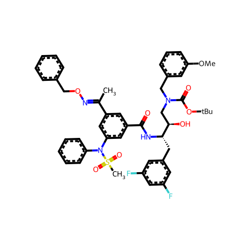 COc1cccc(CN(C[C@@H](O)[C@H](Cc2cc(F)cc(F)c2)NC(=O)c2cc(/C(C)=N/OCc3ccccc3)cc(N(c3ccccc3)S(C)(=O)=O)c2)C(=O)OC(C)(C)C)c1